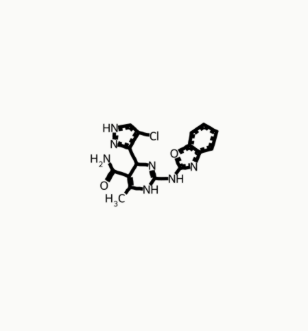 CC1=C(C(N)=O)C(c2n[nH]cc2Cl)N=C(Nc2nc3ccccc3o2)N1